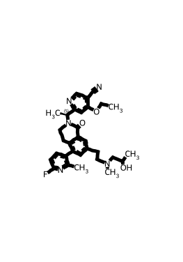 CCOc1cc([C@H](C)N2CCc3c(cc(CCN(C)CC(C)O)cc3-c3ccc(F)nc3C)C2=O)ncc1C#N